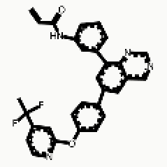 C=CC(=O)Nc1cccc(-c2cc(-c3ccc(Oc4cc(C(C)(F)F)ccn4)cc3)cc3cncnc23)c1